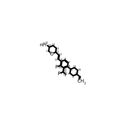 C=CC1CCC(c2ccc(/C=C/C3CCC(CCC)CO3)c(F)c2C(F)F)CC1